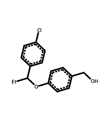 CCC(Oc1ccc(CO)cc1)c1ccc(Cl)cc1